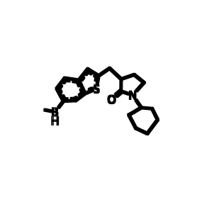 CBc1ccc2cc(CC3CCN(C4CCCCC4)C3=O)sc2c1